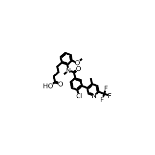 COc1cccc(CCCC(=O)O)c1N(C)C(=O)c1ccc(Cl)c(-c2cnc(C(F)(F)F)cc2C)c1